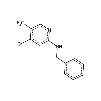 FC(F)(F)c1cnc(NCc2ccccc2)nc1Cl